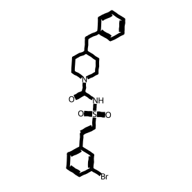 O=C(NS(=O)(=O)/C=C/c1cccc(Br)c1)N1CCC(Cc2ccccc2)CC1